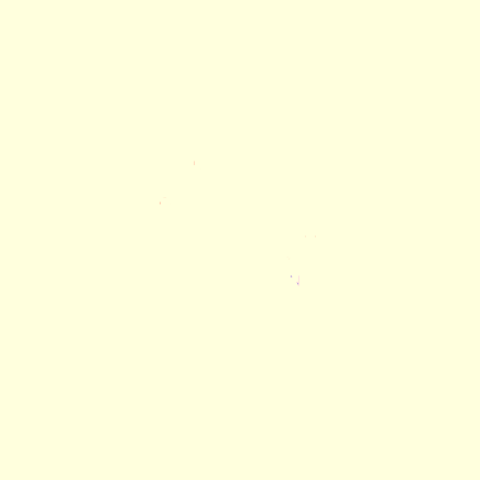 O=C(/C=C/c1ccc2c(c1)OCCO2)N1CCCC1